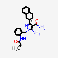 C=CC(=O)Nc1ccccc1Cn1nc([C@@H]2CCc3ccccc3C2)c(C(N)=O)c1N